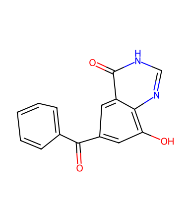 O=C(c1ccccc1)c1cc(O)c2nc[nH]c(=O)c2c1